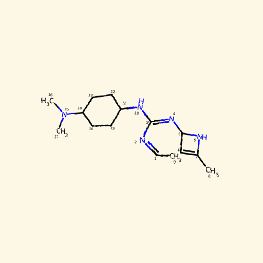 C/C=N\C(=N/C1C=C(C)N1)NC1CCC(N(C)C)CC1